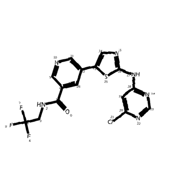 O=C(NCC(F)(F)F)c1cncc(-c2cnc(Nc3cc(Cl)ncn3)s2)c1